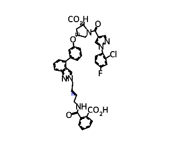 O=C(O)c1ccccc1C(=O)NC/C=C/Cn1cc2c(-c3cccc(O[C@H]4C[C@@H](C(=O)O)N(C(=O)c5cnn(-c6ccc(F)cc6Cl)c5)C4)c3)cccc2n1